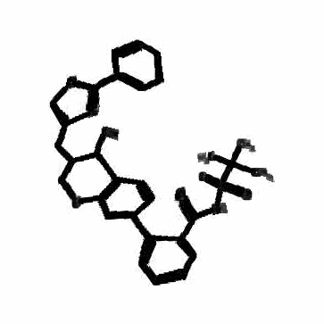 CC(C)(C)S(=O)(=O)NC(=O)c1ccccc1-c1ccc2c(c1)OCC(Cc1coc(-c3ccccc3)n1)C2O